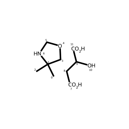 CC1(C)COCN1.O=C(O)CC(O)C(=O)O